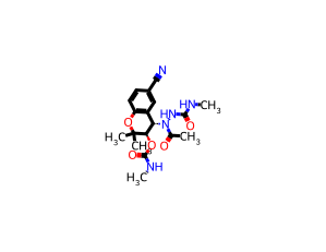 CNC(=O)NN(C(C)=O)[C@H]1c2cc(C#N)ccc2OC(C)(C)[C@@H]1OC(=O)NC